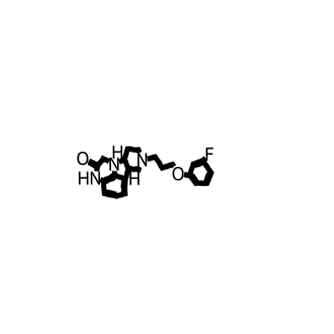 O=C1CN2c3c(cccc3[C@@H]3CN(CCCOc4cccc(F)c4)CC[C@@H]32)N1